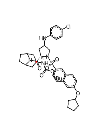 CC(C)(C)OC(=O)NC1CC2CCC(C1)N2C(=O)[C@@H]1CC(Nc2ccc(Cl)cc2)CN1S(=O)(=O)c1ccc2cc(OC3CCCC3)ccc2c1